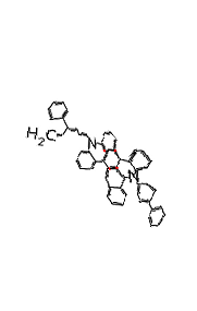 C=C/C(=C\C=C\N(c1ccccc1)c1ccccc1-c1ccc(-c2ccccc2N(c2ccc(-c3ccccc3)cc2)c2cccc3ccccc23)cc1)c1ccccc1